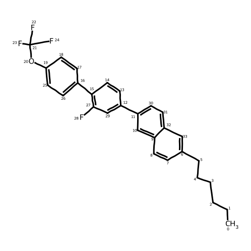 CCCCCCc1ccc2cc(-c3ccc(-c4ccc(OC(F)(F)F)cc4)c(F)c3)ccc2c1